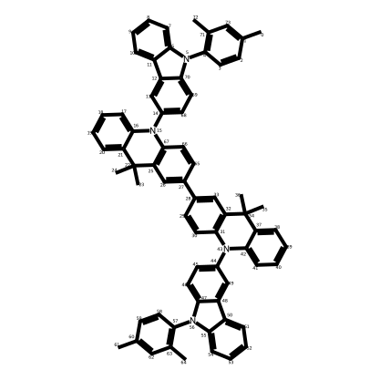 Cc1ccc(-n2c3ccccc3c3cc(N4c5ccccc5C(C)(C)c5cc(-c6ccc7c(c6)C(C)(C)c6ccccc6N7c6ccc7c(c6)c6ccccc6n7-c6ccc(C)cc6C)ccc54)ccc32)c(C)c1